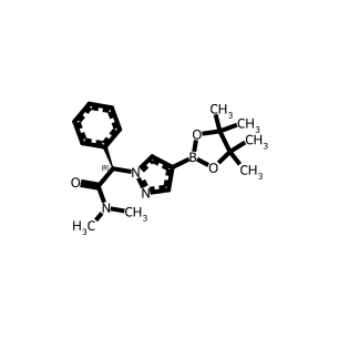 CN(C)C(=O)[C@@H](c1ccccc1)n1cc(B2OC(C)(C)C(C)(C)O2)cn1